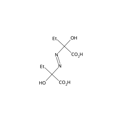 CCC(O)(N=NC(O)(CC)C(=O)O)C(=O)O